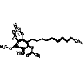 CCCCCCCCCCc1c(OC(=O)O)c(O)c(OC)c(OC)c1OC